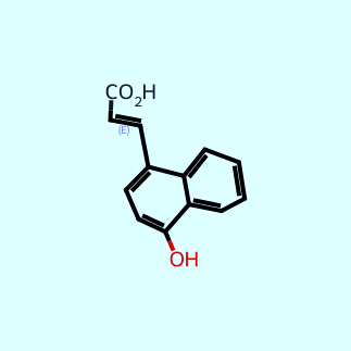 O=C(O)/C=C/c1ccc(O)c2ccccc12